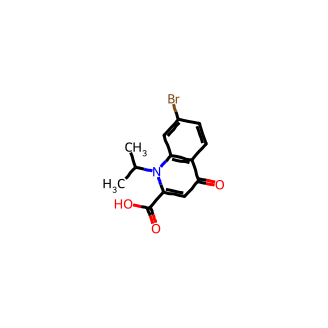 CC(C)n1c(C(=O)O)cc(=O)c2ccc(Br)cc21